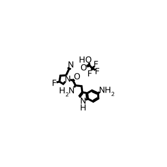 N#CC1CC(F)CN1C(=O)C(N)Cc1c[nH]c2ccc(N)cc12.O=C(O)C(F)(F)F